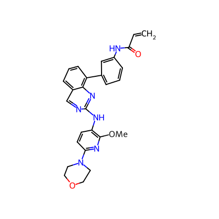 C=CC(=O)Nc1cccc(-c2cccc3cnc(Nc4ccc(N5CCOCC5)nc4OC)nc23)c1